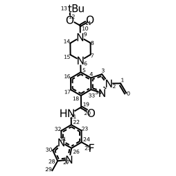 C=Cn1cc2c(N3CCN(C(=O)OC(C)(C)C)CC3)ccc(C(=O)Nc3cc(F)c4nc(C)cn4c3)c2n1